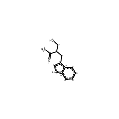 NC(=O)[C](CO)Cc1c[nH]c2ccccc12